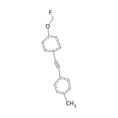 Cc1ccc(C#Cc2ccc(OCF)cc2)cc1